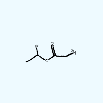 [2H]CC(=O)OC(C)Br